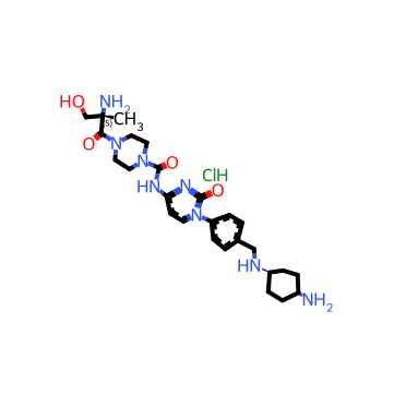 C[C@](N)(CO)C(=O)N1CCN(C(=O)Nc2ccn(-c3ccc(CN[C@H]4CC[C@H](N)CC4)cc3)c(=O)n2)CC1.Cl